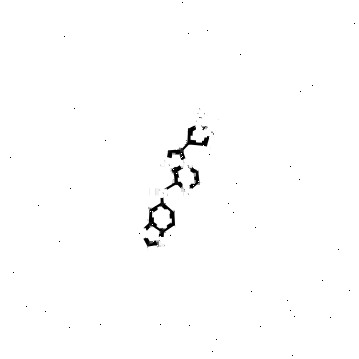 Nn1cc(-c2cnc3c(Nc4ccc5ncsc5c4)nccn23)cn1